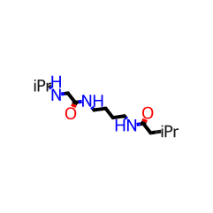 CC(C)CC(=O)NCCCCNC(=O)CNC(C)C